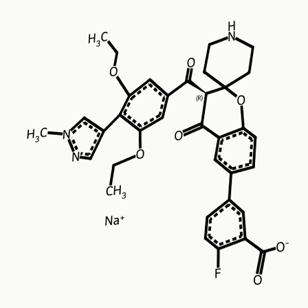 CCOc1cc(C(=O)[C@@H]2C(=O)c3cc(-c4ccc(F)c(C(=O)[O-])c4)ccc3OC23CCNCC3)cc(OCC)c1-c1cnn(C)c1.[Na+]